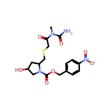 CN(C(N)=O)C(=O)CSCC1CC(O)CN1C(=O)OCc1ccc([N+](=O)[O-])cc1